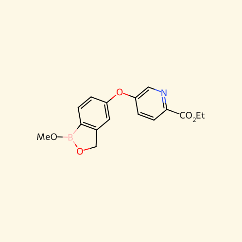 CCOC(=O)c1ccc(Oc2ccc3c(c2)COB3OC)cn1